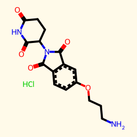 Cl.NCCCOc1ccc2c(c1)C(=O)N(C1CCC(=O)NC1=O)C2=O